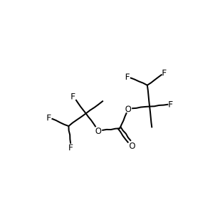 CC(F)(OC(=O)OC(C)(F)C(F)F)C(F)F